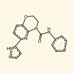 O=C(Nc1ccccc1)N1CCOc2ccc(-c3ccn[nH]3)nc21